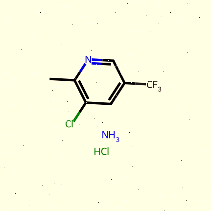 Cc1ncc(C(F)(F)F)cc1Cl.Cl.N